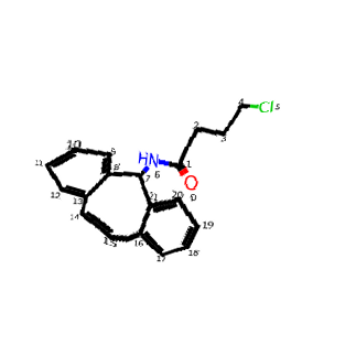 O=C(CCCCl)NC1c2ccccc2C=Cc2ccccc21